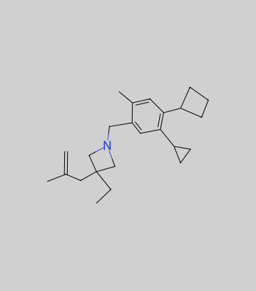 C=C(C)CC1(CC)CN(Cc2cc(C3CC3)c(C3CCC3)cc2C)C1